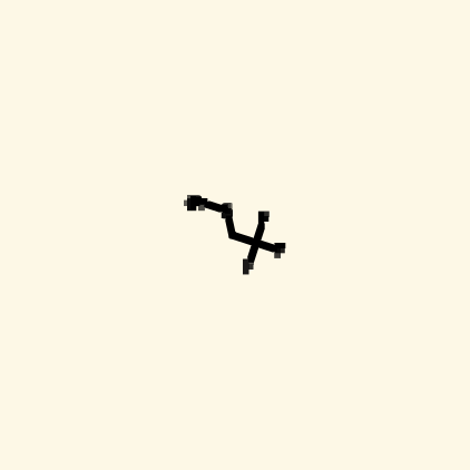 C[C](C)SCC(F)(F)F